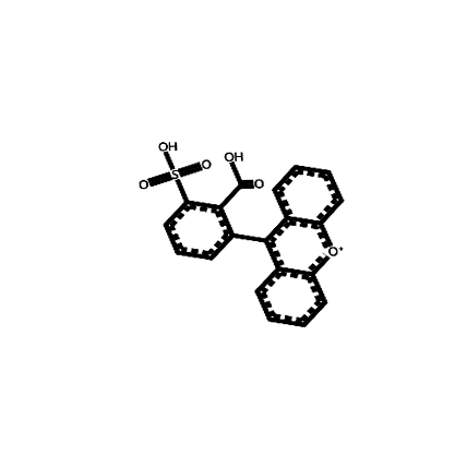 O=C(O)c1c(-c2c3ccccc3[o+]c3ccccc23)cccc1S(=O)(=O)O